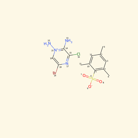 Cc1cc(C)c(S(=O)(=O)[O-])c(C)c1.Nc1c(Cl)nc(Br)c[n+]1N